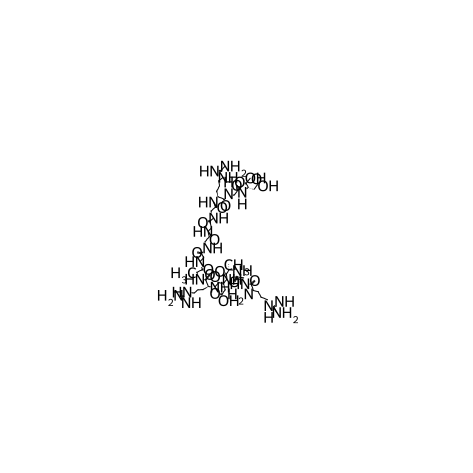 C[C@H](NC(=O)CNC(=O)[C@@H](N)CCCNC(=N)N)C(=O)N[C@@H](CC(=O)O)C(=O)N[C@@H](CCCNC(=N)N)C(=O)N[C@@H](C)C(=O)NCC(=O)NCC(=O)NCC(=O)NCC(=O)N[C@@H](CCCNC(=N)N)C(=O)NCC(=O)N[C@@H](CC(=O)O)C(=O)O